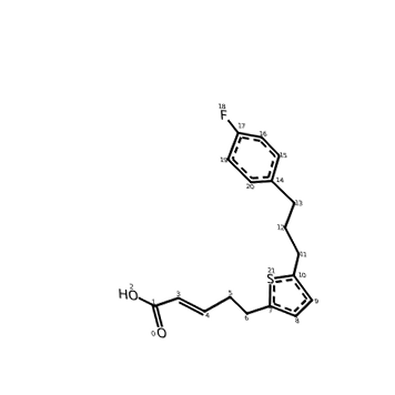 O=C(O)/C=C/CCc1ccc(CCCc2ccc(F)cc2)s1